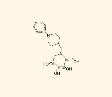 OC[C@@H]1[C@@H](O)[C@H](O)[C@@H](O)CN1CC1CCN(c2cccnc2)CC1